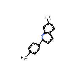 Cc1ccc(-c2ccc3ccc(C)cc3n2)cc1